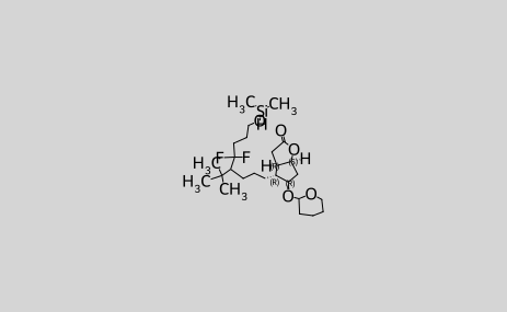 C[SiH](C)OCCCC(F)(F)C(CCC[C@@H]1[C@H]2CC(=O)O[C@H]2C[C@H]1OC1CCCCO1)C(C)(C)C